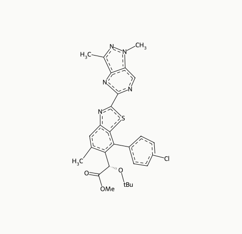 COC(=O)[C@@H](OC(C)(C)C)c1c(C)cc2nc(-c3ncc4c(n3)c(C)nn4C)sc2c1-c1ccc(Cl)cc1